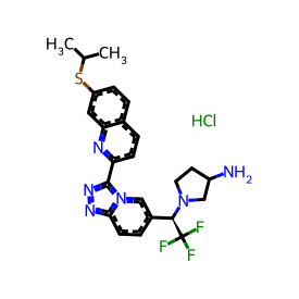 CC(C)Sc1ccc2ccc(-c3nnc4ccc([C@@H](N5CCC(N)C5)C(F)(F)F)cn34)nc2c1.Cl